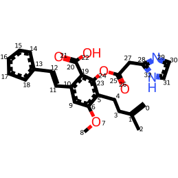 C=C(C)CCc1c(OC)cc(/C=C/c2ccccc2)c(C(=O)O)c1OC(=O)Cc1ncc[nH]1